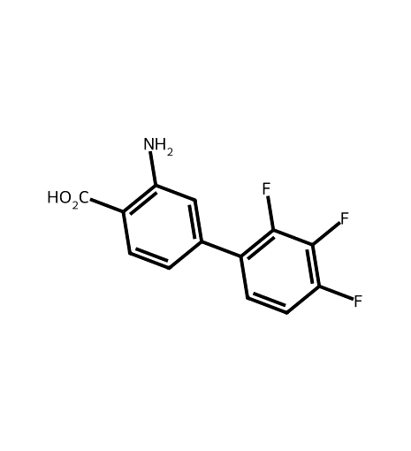 Nc1cc(-c2ccc(F)c(F)c2F)ccc1C(=O)O